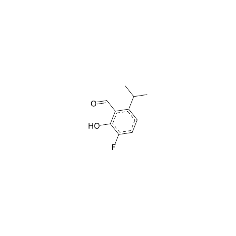 CC(C)c1ccc(F)c(O)c1C=O